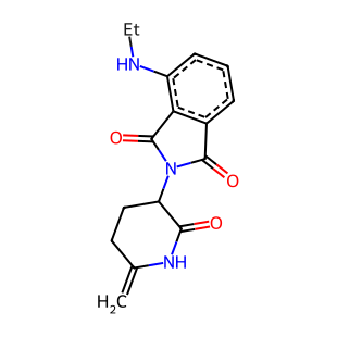 C=C1CCC(N2C(=O)c3cccc(NCC)c3C2=O)C(=O)N1